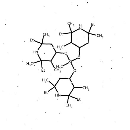 CCC1(C)CC(O[Si](C)(OC2CC(C)(CC)NC(C)(CC)C2C)OC2CC(C)(CC)NC(C)(CC)C2C)C(C)C(C)(CC)N1